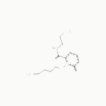 CN(CCO)C(=O)c1cccc(=S)n1OCCCCO